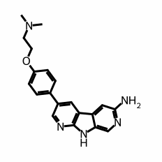 CN(C)CCOc1ccc(-c2cnc3[nH]c4cnc(N)cc4c3c2)cc1